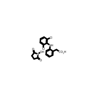 O=C(O)Cc1ccccc1Nc1c(Cl)cccc1Cl.O=C1CCC(=O)N1O